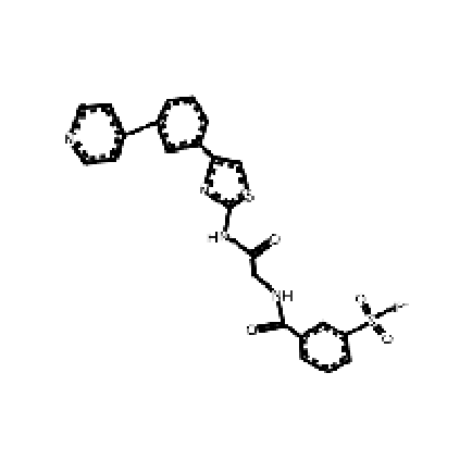 CC(C)S(=O)(=O)c1cccc(C(=O)NCC(=O)Nc2nc(-c3cccc(-c4ccncc4)c3)cs2)c1